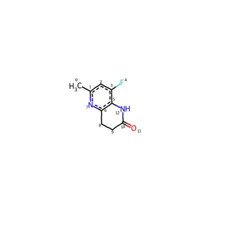 Cc1cc(F)c2c(n1)CCC(=O)N2